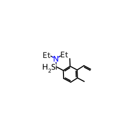 C=Cc1c(C)ccc([SiH2]N(CC)CC)c1C